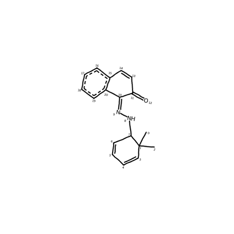 CC1(C)C=CC=CC1NN=C1C(=O)C=Cc2ccccc21